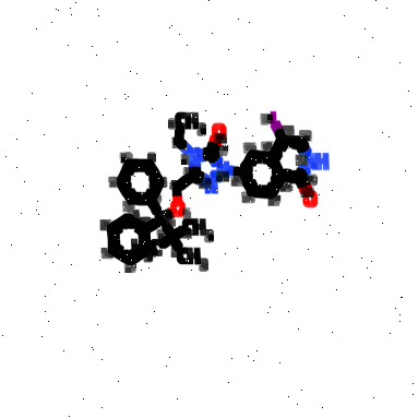 CCn1c(CO[Si](c2ccccc2)(c2ccccc2)C(C)(C)C)nn(-c2ccc3c(=O)[nH]cc(I)c3c2)c1=O